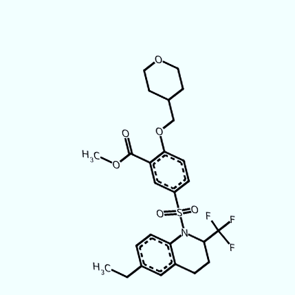 CCc1ccc2c(c1)CCC(C(F)(F)F)N2S(=O)(=O)c1ccc(OCC2CCOCC2)c(C(=O)OC)c1